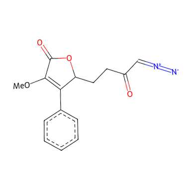 COC1=C(c2ccccc2)C(CCC(=O)C=[N+]=[N-])OC1=O